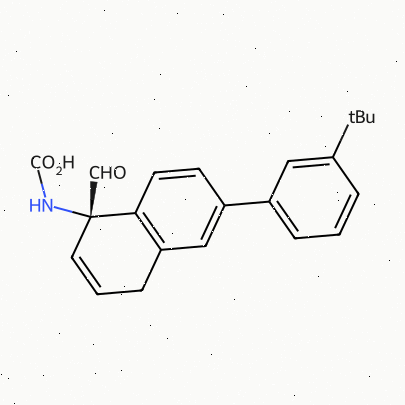 CC(C)(C)c1cccc(-c2ccc3c(c2)CC=C[C@]3(C=O)NC(=O)O)c1